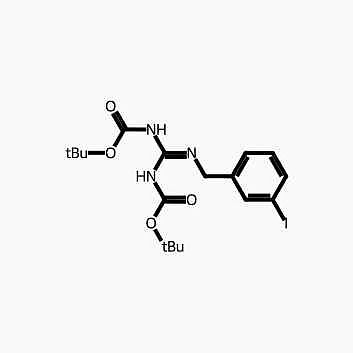 CC(C)(C)OC(=O)NC(=NCc1cccc(I)c1)NC(=O)OC(C)(C)C